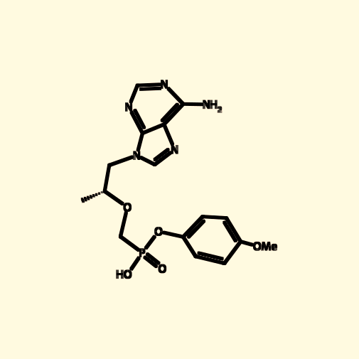 COc1ccc(OP(=O)(O)CO[C@H](C)Cn2cnc3c(N)ncnc32)cc1